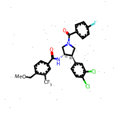 COCc1ccc(C(=O)N[C@@H]2CN(C(=O)c3ccc(F)cc3)C[C@H]2c2ccc(Cl)c(Cl)c2)cc1C(F)(F)F